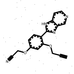 C#CCOc1cc(OCC#N)ccc1-c1nc2cnccc2[nH]1